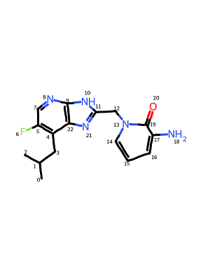 CC(C)Cc1c(F)cnc2[nH]c(Cn3cccc(N)c3=O)nc12